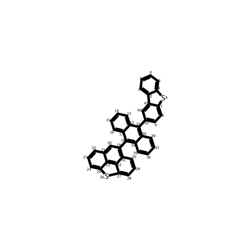 c1ccc2c(c1)sc1ccc(-c3c4ccccc4c(-c4cc5cccc6sc7cccc4c7c56)c4ccccc34)cc12